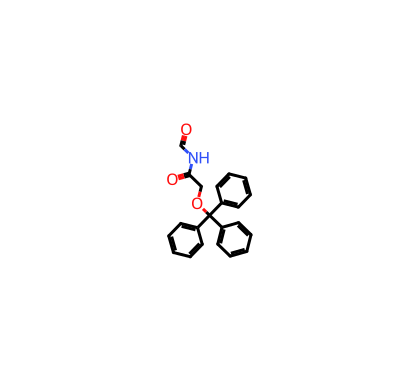 O=CNC(=O)COC(c1ccccc1)(c1ccccc1)c1ccccc1